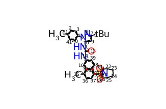 Cc1ccc(-n2nc(C(C)(C)C)cc2NC(=O)Nc2ccc(CC3CC4CCC(C3)N4S(=O)(=O)c3ccc(C)cc3)cc2)cc1